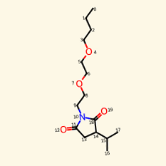 CCCCOCCOCCN1C(=O)CC(C(C)C)C1=O